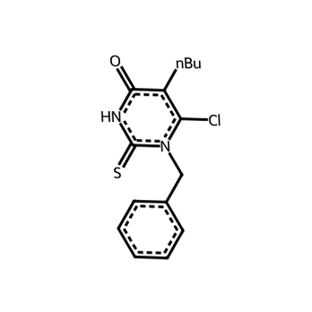 CCCCc1c(Cl)n(Cc2ccccc2)c(=S)[nH]c1=O